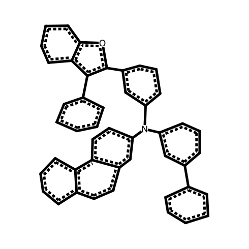 c1ccc(-c2cccc(N(c3cccc(-c4oc5ccccc5c4-c4ccccc4)c3)c3ccc4c(ccc5ccccc54)c3)c2)cc1